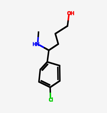 CNC(CCCO)c1ccc(Cl)cc1